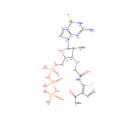 COC(=O)c1ccsc1NC(=O)COC1C(COP(=O)(O)OP(=O)(O)OP(=O)(O)O)OC(n2cnc3c(=S)[nH]c(N)nc32)C1OC